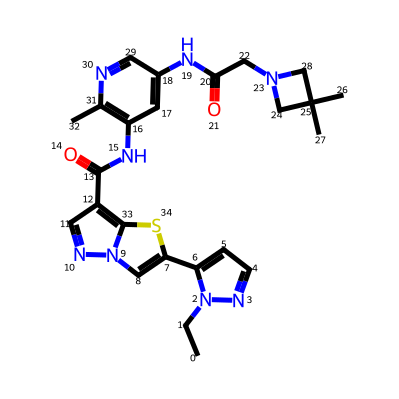 CCn1nccc1-c1cn2ncc(C(=O)Nc3cc(NC(=O)CN4CC(C)(C)C4)cnc3C)c2s1